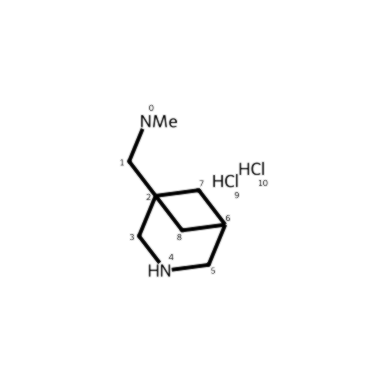 CNCC12CNCC(C1)C2.Cl.Cl